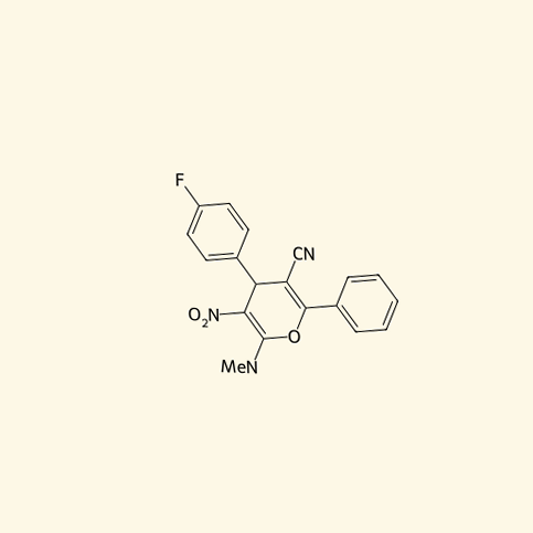 CNC1=C([N+](=O)[O-])C(c2ccc(F)cc2)C(C#N)=C(c2ccccc2)O1